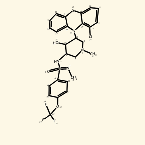 CN=S(=O)(NC1CN(C)CC(N2c3ccccc3Sc3cccc(Cl)c32)C1O)c1ccc(OC(F)(F)F)cc1